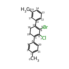 Cc1ccc(C2=C(Cl)C(Br)=C(c3cccc(C)c3)C[CH]2)cc1